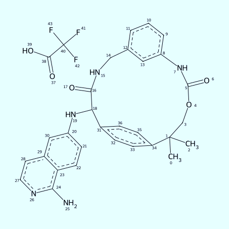 CC1(C)COC(=O)Nc2cccc(c2)CNC(=O)C(Nc2ccc3c(N)nccc3c2)c2ccc1cc2.O=C(O)C(F)(F)F